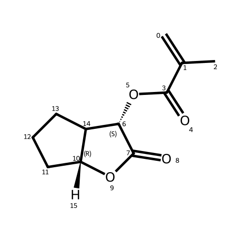 C=C(C)C(=O)O[C@@H]1C(=O)O[C@@H]2CCCC12